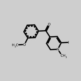 COc1cccc(C(=O)C2=CCN(C)C(I)=C2)c1